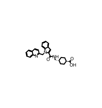 O=C(NC[C@H]1CC[C@H](C(=O)O)CC1)c1cc2ccccc2n1Cc1ccc2ccccc2n1